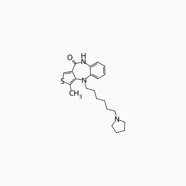 Cc1scc2c1N(CCCCCCN1CCCC1)c1ccccc1NC2=O